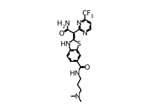 CN(C)CCCNC(=O)c1ccc2c(c1)S/C(=C(/C(N)=O)c1nccc(C(F)(F)F)n1)N2